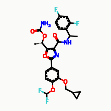 CC(NC(=O)c1nc(-c2ccc(OC(F)F)c(OCC3CC3)c2)oc1[C@H](C)OC(N)=O)c1ccc(F)cc1F